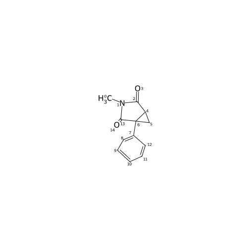 CN1C(=O)C2CC2(c2ccccc2)C1=O